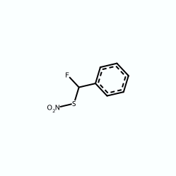 O=[N+]([O-])SC(F)c1ccccc1